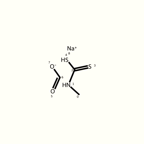 CNC(=S)S.O=C[O-].[Na+]